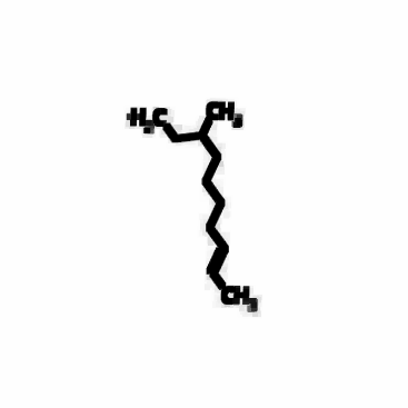 [CH2]CC(C)CCCC/C=C/C